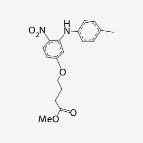 COC(=O)CCCOc1ccc([N+](=O)[O-])c(Nc2ccc(C)cc2)c1